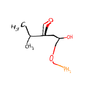 CC(C)C(=O)C(O)OP